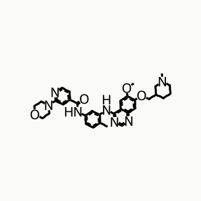 COc1cc2c(Nc3cc(NC(=O)c4ccnc(N5CCOCC5)c4)ccc3C)ncnc2cc1OCC1CCCN(C)C1